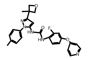 Cc1ccc(-n2nc(C3(C)COC3)cc2NC(=O)Nc2ccc(Oc3ccncc3)cc2F)cc1